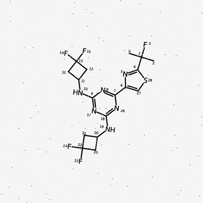 CC(C)(F)c1nc(-c2nc(NC3CC(F)(F)C3)nc(NC3CC(F)(F)C3)n2)cs1